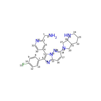 NCc1cc(-c2c(-c3ccc(F)cc3)nc3ccc(N4CC5CCCNC5C4)nn23)ccn1